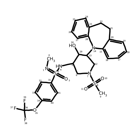 CN=S(=O)(NC1CN(S(C)(=O)=O)CC(N2c3ccccc3CCc3ccccc32)C1O)c1ccc(OC(F)(F)F)cc1